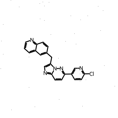 Clc1ccc(-c2ccc3ncc(Cc4ccc5ncccc5c4)n3n2)cn1